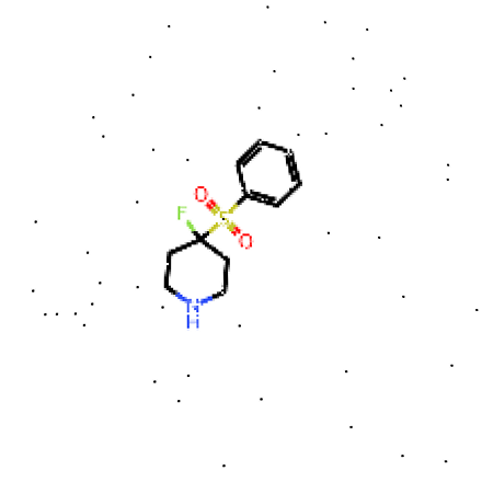 O=S(=O)(c1ccccc1)C1(F)CCNCC1